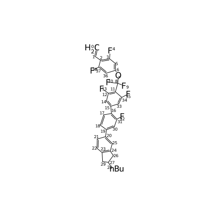 C=Cc1c(F)cc(OC(F)(F)c2c(F)cc(-c3ccc(-c4ccc5c(c4)CC(CCCC)C5)cc3F)cc2F)cc1F